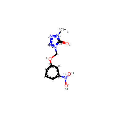 Cn1nnn(COc2cccc([N+](=O)[O-])c2)c1=O